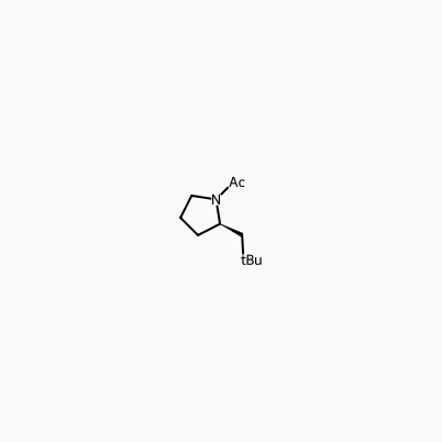 CC(=O)N1CCC[C@@H]1CC(C)(C)C